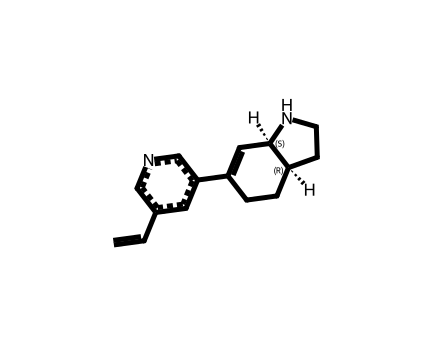 C=Cc1cncc(C2=C[C@H]3NCC[C@H]3CC2)c1